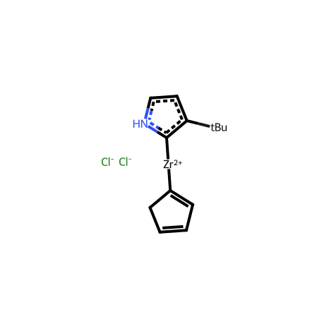 CC(C)(C)c1cc[nH][c]1[Zr+2][C]1=CC=CC1.[Cl-].[Cl-]